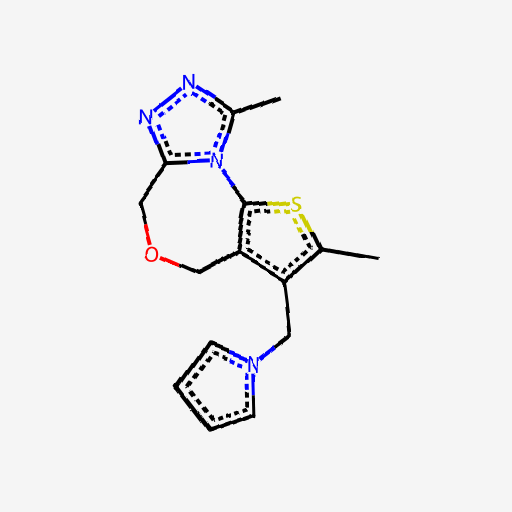 Cc1sc2c(c1Cn1cccc1)COCc1nnc(C)n1-2